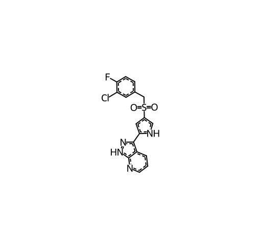 O=S(=O)(Cc1ccc(F)c(Cl)c1)c1c[nH]c(-c2n[nH]c3ncccc23)c1